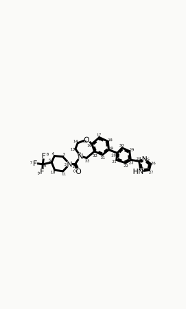 O=C(N1CCC(C(F)(F)F)CC1)N1CCOc2ccc(-c3ccc(-c4ncc[nH]4)cc3)cc2C1